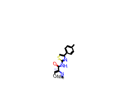 C=N/C(=C\OC)C(=O)Nc1nc(-c2ccc(C)cc2)cs1